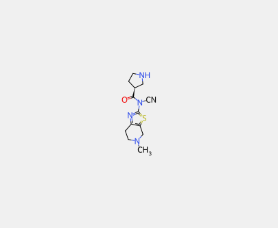 CN1CCc2nc(N(C#N)C(=O)[C@H]3CCNC3)sc2C1